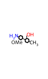 COc1cc(N)ccc1-c1ccc(C)cc1CO